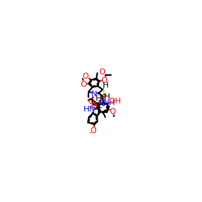 COc1ccc2[nH]c3c(c2c1)CCN[C@]31CS[C@@H]2c3c(OC(C)=O)c(C)c4c(c3C(COC1=O)N1[C@@H]2[C@@H]2c3c(cc(C)c(OC)c3O)CC1(C)CN2C)OCO4